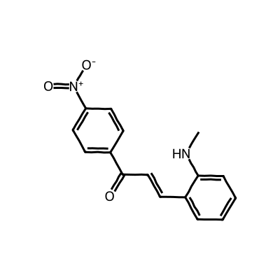 CNc1ccccc1C=CC(=O)c1ccc([N+](=O)[O-])cc1